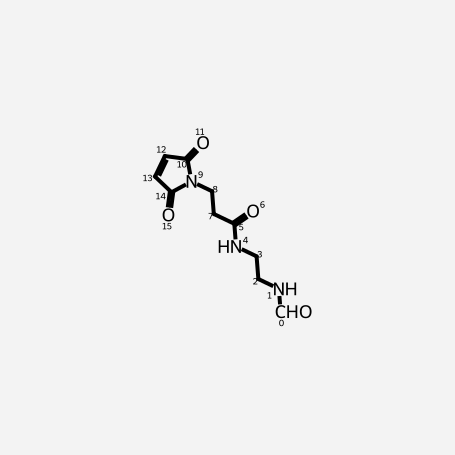 O=CNCCNC(=O)CCN1C(=O)C=CC1=O